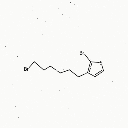 BrCCCCCCc1ccsc1Br